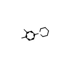 Cc1cc(N2CCCCC2)ccc1Cl